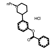 CCCN1CCCC(c2cccc(OC(=O)c3ccccc3)c2)C1.Cl